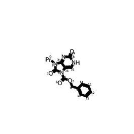 CC(C)n1c(=O)n(C(=O)OCc2ccccc2)c2c[nH]c(=O)nc21